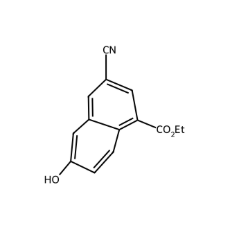 CCOC(=O)c1cc(C#N)cc2cc(O)ccc12